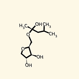 CC(C)C[C@@](C)(O)OC[C@@H]1OC[C@@H](O)[C@@H]1O